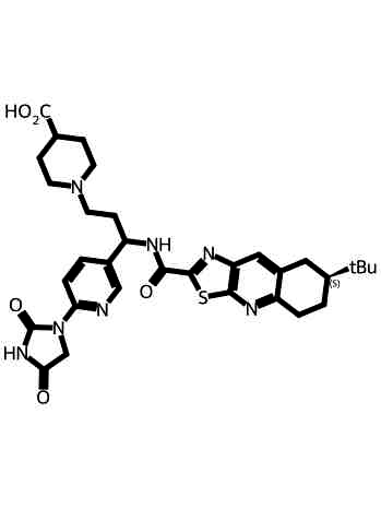 CC(C)(C)[C@H]1CCc2nc3sc(C(=O)NC(CCN4CCC(C(=O)O)CC4)c4ccc(N5CC(=O)NC5=O)nc4)nc3cc2C1